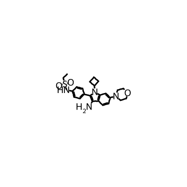 CCS(=O)(=O)Nc1ccc(-c2c(N)c3ccc(N4CCOCC4)cc3n2C2CCC2)cc1